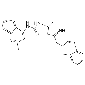 Cc1cc(NC(=O)NC(C)CC(=N)Cc2ccc3ccccc3c2)c2ccccc2n1